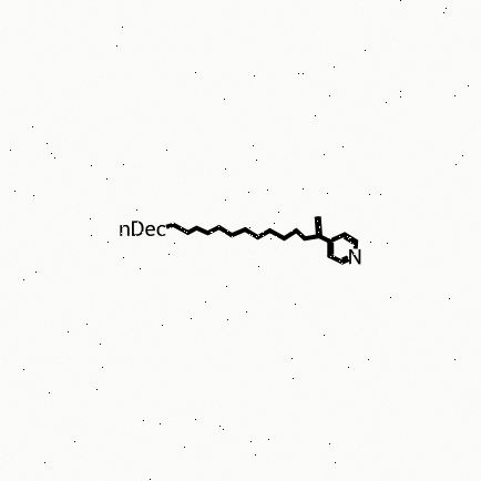 C=C(CCCCCCCCCCCCCCCCCCCCCC)c1ccncc1